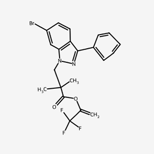 C=C(OC(=O)C(C)(C)Cn1nc(-c2ccccc2)c2ccc(Br)cc21)C(F)(F)F